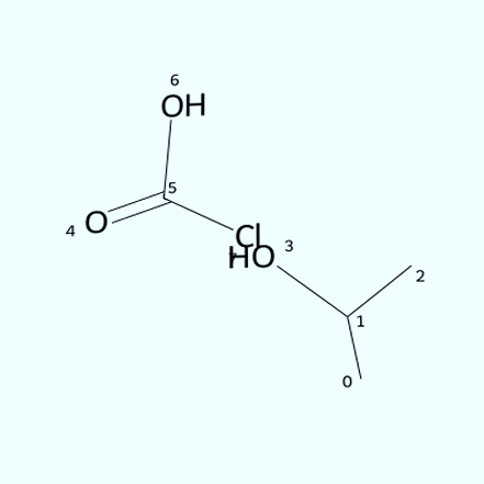 CC(C)O.O=C(O)Cl